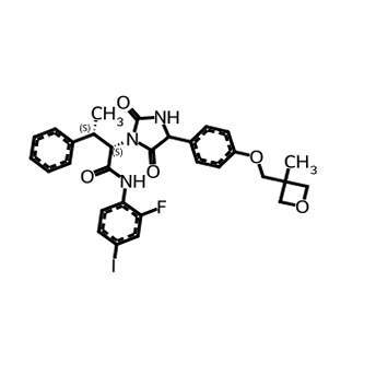 C[C@@H](c1ccccc1)[C@@H](C(=O)Nc1ccc(I)cc1F)N1C(=O)NC(c2ccc(OCC3(C)COC3)cc2)C1=O